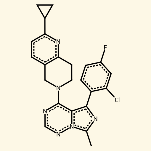 Cc1nc(-c2ccc(F)cc2Cl)c2c(N3CCc4nc(C5CC5)ccc4C3)ncnn12